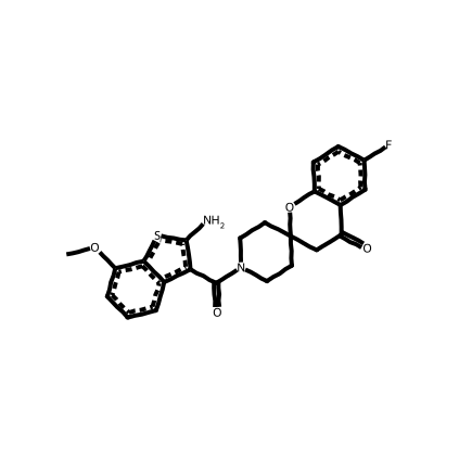 COc1cccc2c(C(=O)N3CCC4(CC3)CC(=O)c3cc(F)ccc3O4)c(N)sc12